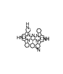 N#Cc1cccc(-c2c(-n3c4c(c5ccccc53)=CNCC=4)c(-n3c4c(c5ccccc53)=CNCC=4)nc(-n3c4c(c5ccccc53)=CNCC=4)c2-n2c3c(c4ccccc42)=CNCC=3)c1